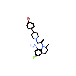 C=C(CN1CCC(c2ccc(Br)cc2)CC1)N1c2c(N)cc(F)cc2CCC1C